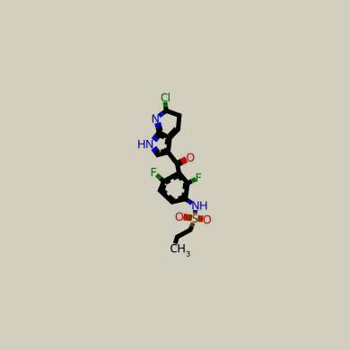 CCCS(=O)(=O)Nc1ccc(F)c(C(=O)c2c[nH]c3c2=CCC(Cl)N=3)c1F